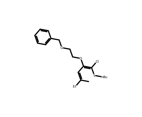 CCCCS/C(Cl)=C(\C=C(/C)CC)OCCOCc1ccccc1